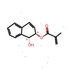 C=C(C)C(=O)O[C@@H]1C=Cc2ccccc2[C@H]1O